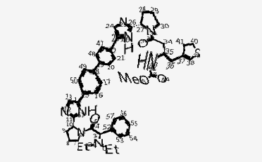 CCN(CC)[C@@H](C(=O)N1CCC[C@H]1c1ncc(-c2ccc(-c3ccc(-c4cnc([C@@H]5CCCN5C(=O)C[C@@H](CC5=CSCC5)NC(=O)OC)[nH]4)cc3)cc2)[nH]1)c1ccccc1